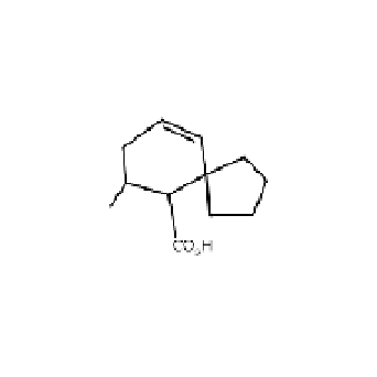 CC1CC=CC2(CCCC2)C1C(=O)O